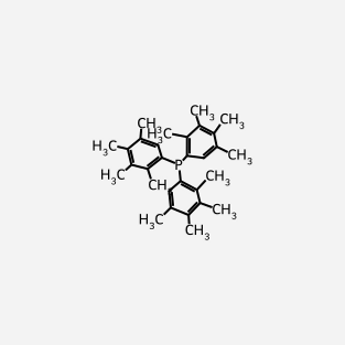 Cc1cc(P(c2cc(C)c(C)c(C)c2C)c2cc(C)c(C)c(C)c2C)c(C)c(C)c1C